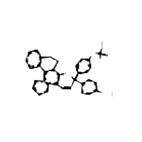 Cc1ccc(C2(c3ccc(OC(F)(F)F)cc3)C=Cc3c(c4c(c5ccccc35)-c3ccccc3CC4)O2)cc1